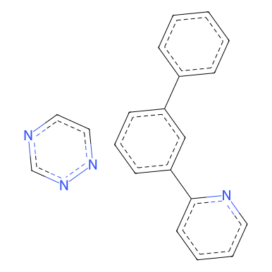 c1ccc(-c2cccc(-c3ccccn3)c2)cc1.c1cnncn1